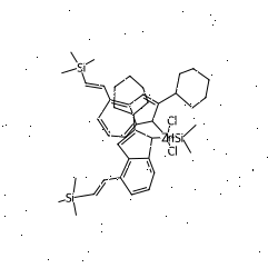 C[SiH](C)[Zr]([Cl])([Cl])([CH]1C(C2CCCCC2)=Cc2c(C=C[Si](C)(C)C)cccc21)[CH]1C(C2CCCCC2)=Cc2c(C=C[Si](C)(C)C)cccc21